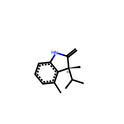 C=C1Nc2cccc(C)c2[C@@]1(C)C(C)C